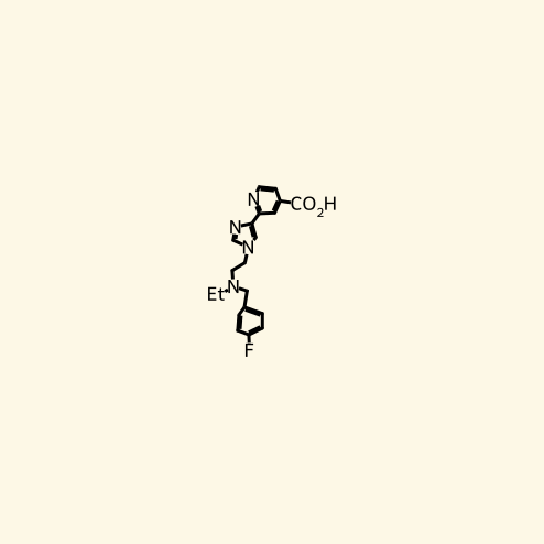 CCN(CCn1cnc(-c2cc(C(=O)O)ccn2)c1)Cc1ccc(F)cc1